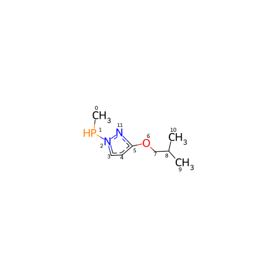 CPn1ccc(OCC(C)C)n1